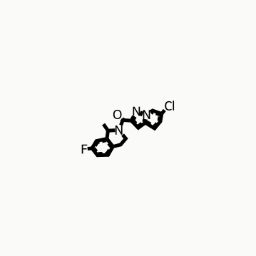 CC1c2cc(F)ccc2CCN1C(=O)c1cc2ccc(Cl)cn2n1